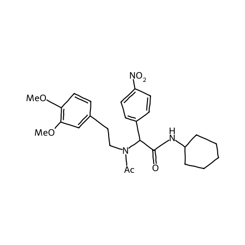 COc1ccc(CCN(C(C)=O)C(C(=O)NC2CCCCC2)c2ccc([N+](=O)[O-])cc2)cc1OC